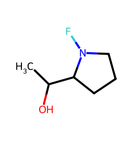 CC(O)C1CCCN1F